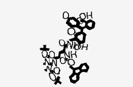 CN(C(=O)OC(C)(C)C)C(=NCCCC(NC(=O)OCC1c2ccccc2-c2ccccc21)C(=O)NCc1c(O)ccc2c(-c3ccccc3C(=O)O)c3ccc(=O)cc-3oc12)N(C)C(=O)OC(C)(C)C